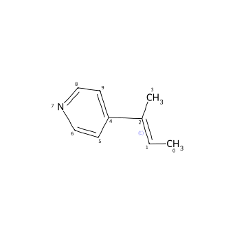 C/C=C(\C)c1ccncc1